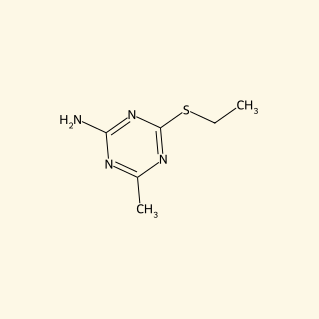 CCSc1nc(C)nc(N)n1